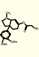 COc1ccc(C23CCC(OC(=O)CC(C)(C)C)=CC2N(C)CC3)cc1OC